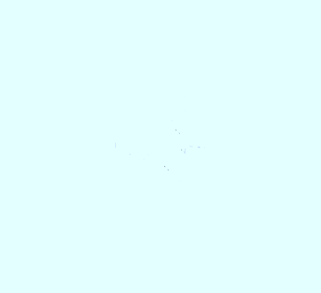 CCC(NC(=O)OC(C)(C)C)C(=O)Nc1cccc(C(F)(F)F)c1NCc1ccc(F)cc1